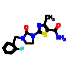 Cc1nc(N2CCN(Cc3ccccc3F)C2=O)sc1C(N)=O